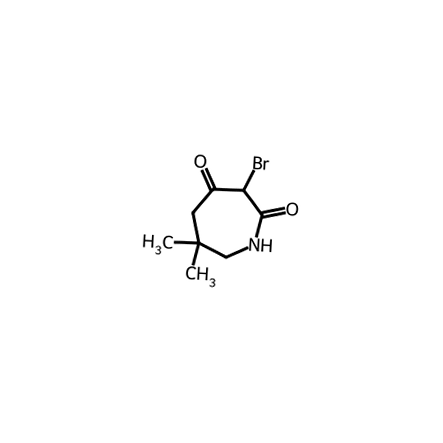 CC1(C)CNC(=O)C(Br)C(=O)C1